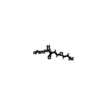 CCCCCNC(=O)CCOCCC(C)=O